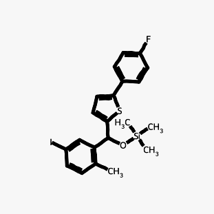 Cc1ccc(I)cc1C(O[Si](C)(C)C)c1ccc(-c2ccc(F)cc2)s1